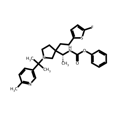 Cc1ccc(C(C)(C)N2CCC(CCc3ccc(F)s3)([C@@H](C)NC(=O)Oc3ccccc3)C2)cn1